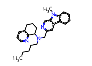 CCCCCN(Cc1cc2c3ccccc3n(C)c2cn1)C1CCCc2cccnc21